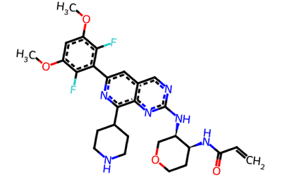 C=CC(=O)N[C@H]1CCOC[C@H]1Nc1ncc2cc(-c3c(F)c(OC)cc(OC)c3F)nc(C3CCNCC3)c2n1